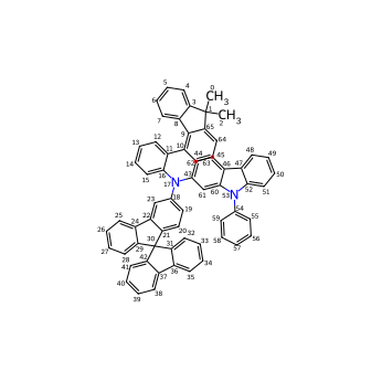 CC1(C)c2ccccc2-c2c(-c3ccccc3N(c3ccc4c(c3)-c3ccccc3C43c4ccccc4-c4ccccc43)c3ccc4c5ccccc5n(-c5ccccc5)c4c3)cccc21